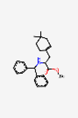 CC1(C)CC=C(C[C@H](NC(c2ccccc2)c2ccccc2)C(=O)OC(C)(C)C)CC1